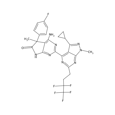 Cn1nc(C2CC2)c2c(-c3nc(N)c4c(n3)NC(=O)C4(C)c3ccc(F)cc3)nc(CCC(F)(F)C(F)(F)F)nc21